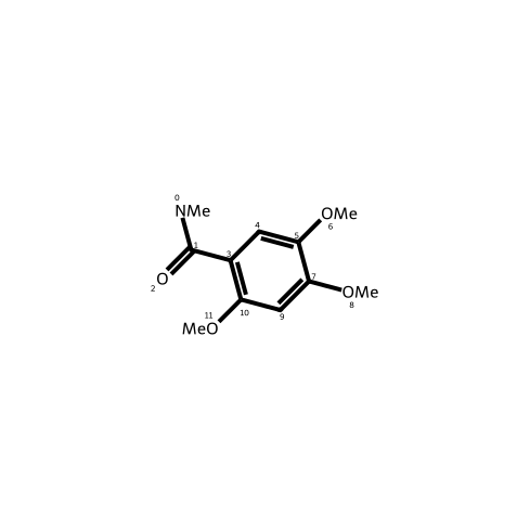 CNC(=O)c1cc(OC)c(OC)cc1OC